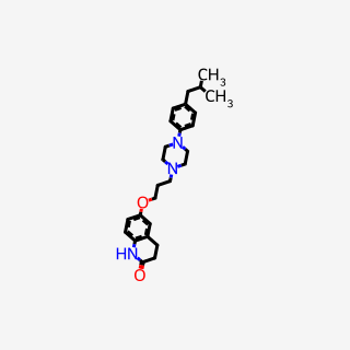 CC(C)Cc1ccc(N2CCN(CCCOc3ccc4c(c3)CCC(=O)N4)CC2)cc1